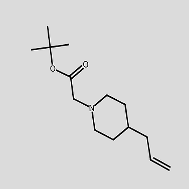 C=CCC1CCN(CC(=O)OC(C)(C)C)CC1